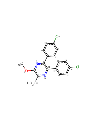 CCCOc1nc(-c2ccc(Cl)cc2)c(-c2ccc(Cl)cc2)nc1C(=O)O